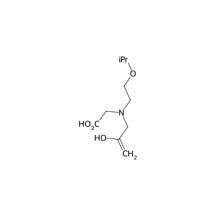 C=C(O)CN(CCOC(C)C)CC(=O)O